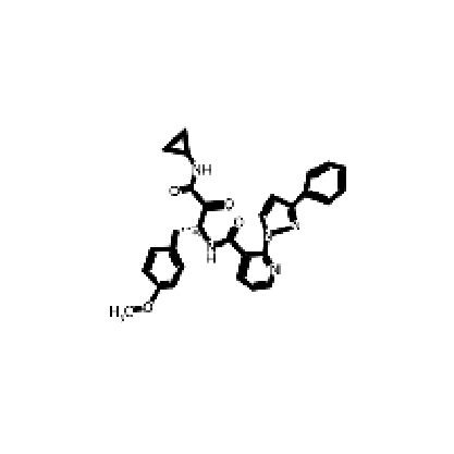 COc1ccc(C[C@@H](NC(=O)c2cccnc2-n2ccc(-c3ccccc3)n2)C(=O)C(=O)NC2CC2)cc1